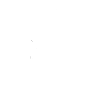 COc1ccc(F)c(NC(=O)Nc2ccc(C)cc2)c1